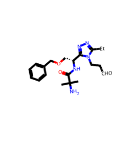 CCc1nnc([C@@H](COCc2ccccc2)NC(=O)C(C)(C)N)n1CCC=O